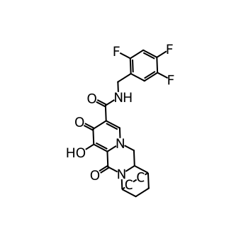 O=C(NCc1cc(F)c(F)cc1F)c1cn2c(c(O)c1=O)C(=O)N1C3CCC(CC3)C1C2